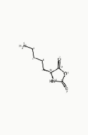 NCCCC[C@@H]1NC(=O)OC1=O